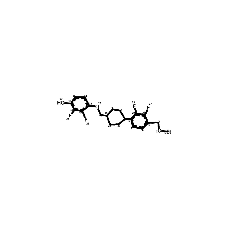 CCOCc1ccc(C2CCC(COc3ccc(O)c(F)c3F)CC2)c(F)c1F